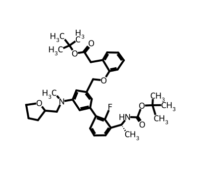 C[C@@H](NC(=O)OC(C)(C)C)c1cccc(-c2cc(COc3ccccc3CC(=O)OC(C)(C)C)cc(N(C)CC3CCCO3)c2)c1F